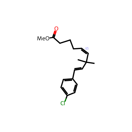 COC(=O)CCC/C=C\C(C)(C)C=Cc1ccc(Cl)cc1